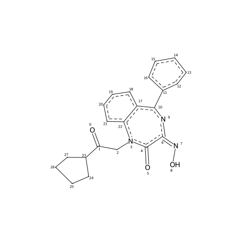 O=C(Cn1c(=O)c(=NO)nc(-c2ccccc2)c2ccccc21)C1CCCC1